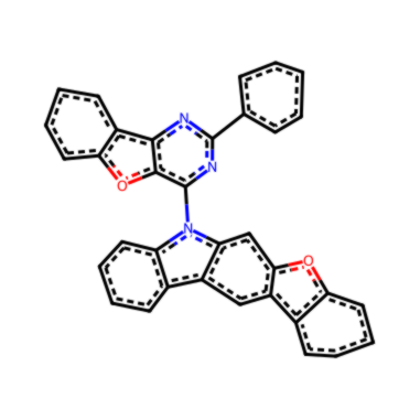 c1ccc(-c2nc(-n3c4ccccc4c4cc5c(cc43)oc3ccccc35)c3oc4ccccc4c3n2)cc1